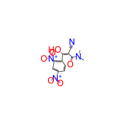 CN(C)C(=O)C(C#N)=C(O)c1ccc([N+](=O)[O-])cc1[N+](=O)[O-]